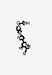 COc1cc(-c2ccc(N3CC4(CCN(C(=O)C5CNC5)C4)C3)nc2)cn2ncc(C#N)c12